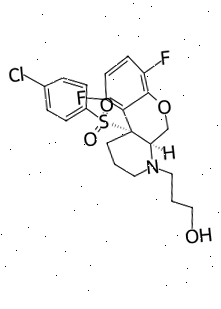 O=S(=O)(c1ccc(Cl)cc1)[C@@]12CCCN(CCCO)[C@@H]1COc1c(F)ccc(F)c12